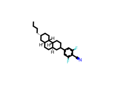 CCCC[C@@H]1CC[C@H]2[C@@H](CC[C@@H]3CC(c4cc(F)c(C#N)c(F)c4)CC[C@H]32)C1